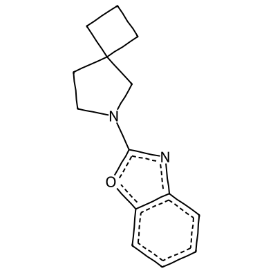 c1ccc2oc(N3CCC4(CCC4)C3)nc2c1